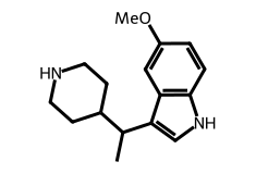 COc1ccc2[nH]cc(C(C)C3CCNCC3)c2c1